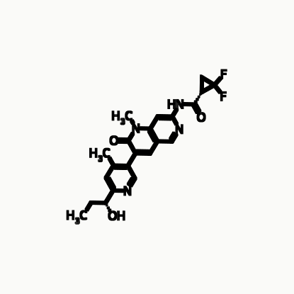 CC[C@@H](O)c1cc(C)c(-c2cc3cnc(NC(=O)[C@@H]4CC4(F)F)cc3n(C)c2=O)cn1